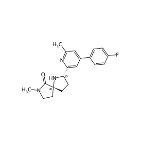 Cc1cc(-c2ccc(F)cc2)cc([C@@H]2CC[C@]3(CCN(C)C3=O)N2)n1